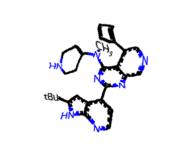 CN(c1nc(-c2ccnc3[nH]c(C(C)(C)C)cc23)nc2cncc(C3=CC=C3)c12)C1CCNCC1